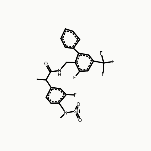 CC(C(=O)NCc1c(F)cc(C(F)(F)F)cc1-c1ccccc1)c1ccc(N(C)[SH](=O)=O)c(F)c1